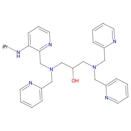 CC(C)Nc1cccnc1CN(Cc1ccccn1)CC(O)CN(Cc1ccccn1)Cc1ccccn1